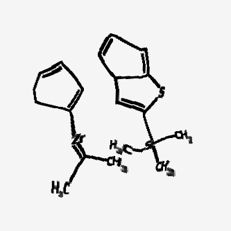 C[C](C)=[Zr][C]1=CC=CC1.C[Si](C)(C)C1=CC2C=CC=C2S1